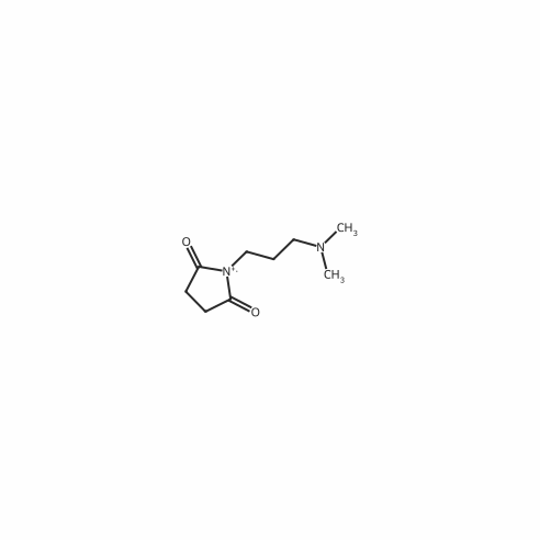 CN(C)CCC[N+]1C(=O)CCC1=O